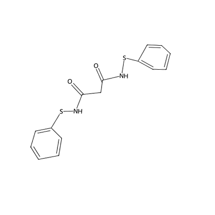 O=C(CC(=O)NSc1ccccc1)NSc1ccccc1